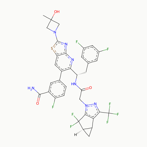 CC1(O)CN(c2nc3nc([C@H](Cc4cc(F)cc(F)c4)NC(=O)Cn4nc(C(F)(F)F)c5c4C(F)(F)[C@@H]4CC54)c(-c4ccc(F)c(C(N)=O)c4)cc3s2)C1